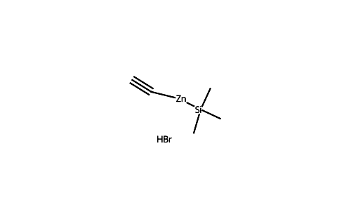 Br.C#[C][Zn][Si](C)(C)C